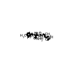 Cc1ccc(COc2nsc(NC(=O)NCC(C)CC3CNCCO3)c2C(N)=O)c(F)c1F